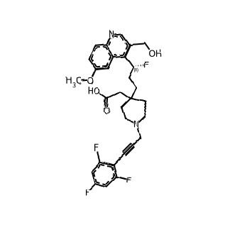 COc1ccc2ncc(CO)c([C@H](F)CCC3(CC(=O)O)CCN(CC#Cc4c(F)cc(F)cc4F)CC3)c2c1